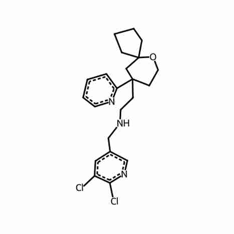 Clc1cc(CNCCC2(c3ccccn3)CCOC3(CCCC3)C2)cnc1Cl